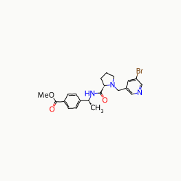 COC(=O)c1ccc([C@H](C)NC(=O)[C@H]2CCCN2Cc2cncc(Br)c2)cc1